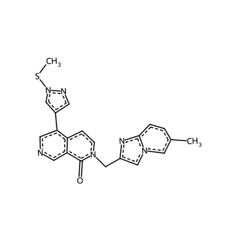 CSn1cc(-c2cncc3c(=O)n(Cc4cn5cc(C)ccc5n4)ccc23)cn1